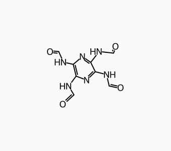 O=CNc1nc(NC=O)c(NC=O)nc1NC=O